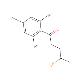 CC(P)CCC(=O)c1c(C(C)C)cc(C(C)C)cc1C(C)C